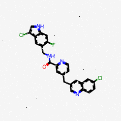 O=C(NCc1cc2c(Cl)c[nH]c2cc1F)c1cc(Cc2cnc3ccc(Cl)cc3c2)ccn1